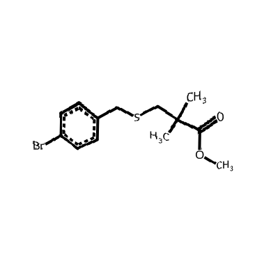 COC(=O)C(C)(C)CSCc1ccc(Br)cc1